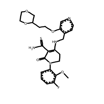 COc1c(F)cccc1N1CCC(NCc2ccncc2OCCC2COCCO2)=C(C(N)=S)C1=O